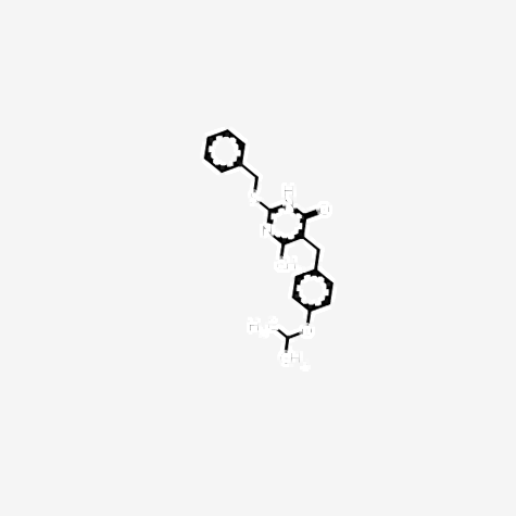 Cc1nc(SCc2ccccc2)[nH]c(=O)c1Cc1ccc(OC(C)C)cc1